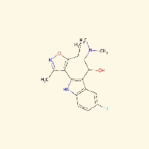 CCc1onc(C)c1-c1[nH]c2ccc(F)cc2c1C(O)CN(C)C